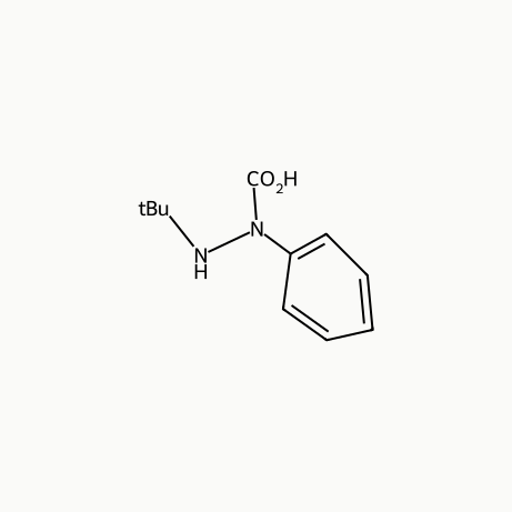 CC(C)(C)NN(C(=O)O)c1ccccc1